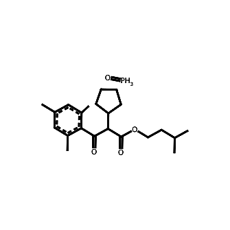 Cc1cc(C)c(C(=O)C(C(=O)OCCC(C)C)C2CCCC2)c(C)c1.O=[PH3]